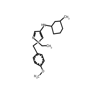 CC[N+]1(Cc2ccc(OC)cc2)C=C(NC2CCCC(C)C2)C=N1